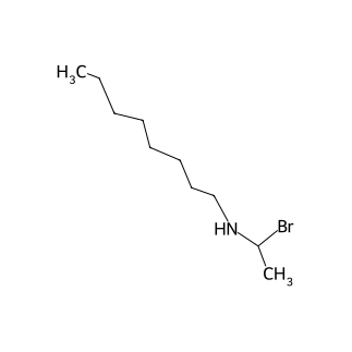 CCCCCCCCNC(C)Br